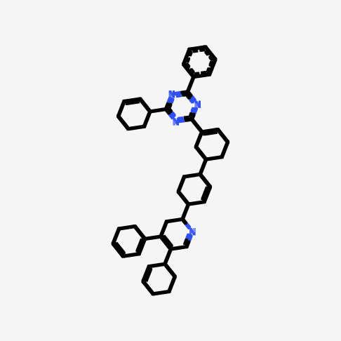 C1=CCCC(C2=C(C3C=CCCC3)C=NC(C3C=CC(C4CCC=C(c5nc(-c6ccccc6)nc(C6C=CCCC6)n5)C4)CC3)C2)=C1